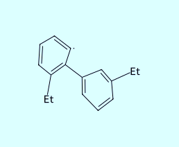 CCc1cccc(-c2[c]cccc2CC)c1